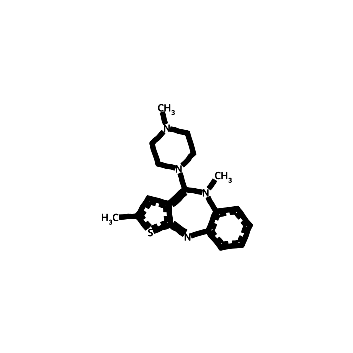 Cc1cc2c(s1)=Nc1ccccc1N(C)C=2N1CCN(C)CC1